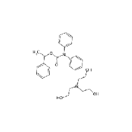 CC(OC(=O)N(c1ccccc1)c1ccccc1)c1ccccc1.OCCN(CCO)CCO